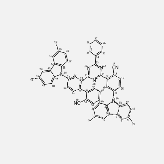 Cc1ccc2c(c1)c1cc(C)ccc1n2-c1ccc(C#N)c(-c2nc(-c3ccccc3)nc(-c3cc(-n4c5ccc(C)cc5c5cc(C)ccc54)ccc3-c3ccccc3C#N)n2)c1